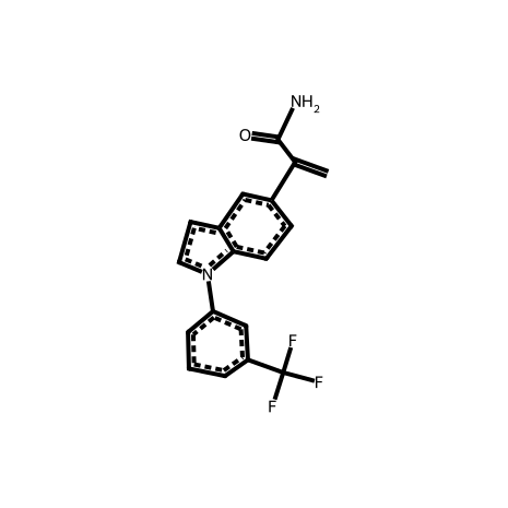 C=C(C(N)=O)c1ccc2c(ccn2-c2cccc(C(F)(F)F)c2)c1